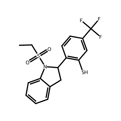 CCS(=O)(=O)N1c2ccccc2CC1c1ccc(C(F)(F)F)cc1S